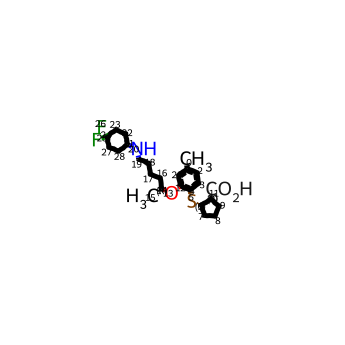 Cc1ccc(S[C@H]2CCC[C@@H]2C(=O)O)c(O[C@H](C)CCCCNC2CCC(F)(F)CC2)c1